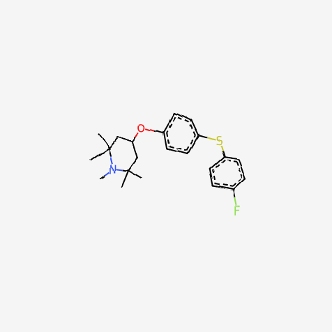 CN1C(C)(C)CC(Oc2ccc(Sc3ccc(F)cc3)cc2)CC1(C)C